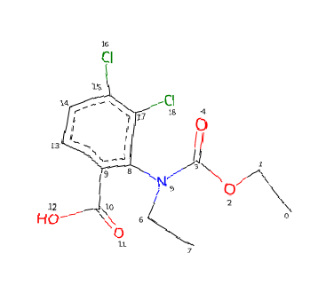 CCOC(=O)N(CC)c1c(C(=O)O)ccc(Cl)c1Cl